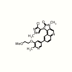 COCCOc1cc(-c2ccc3ncc4c(c3c2)n(-c2cn(C)nc2Cl)c(=O)n4C)cnc1C